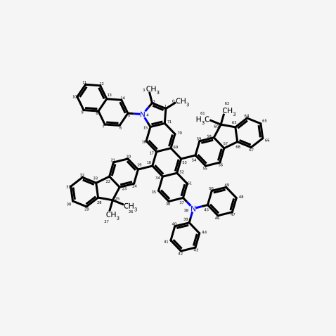 Cc1c(C)n(-c2ccc3ccccc3c2)c2cc3c(-c4ccc5c(c4)C(C)(C)c4ccccc4-5)c4ccc(N(c5ccccc5)c5ccccc5)cc4c(-c4ccc5c(c4)C(C)(C)c4ccccc4-5)c3cc12